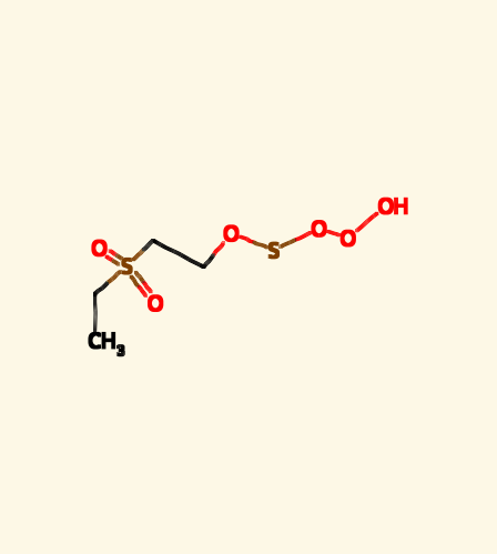 CCS(=O)(=O)CCOSOOO